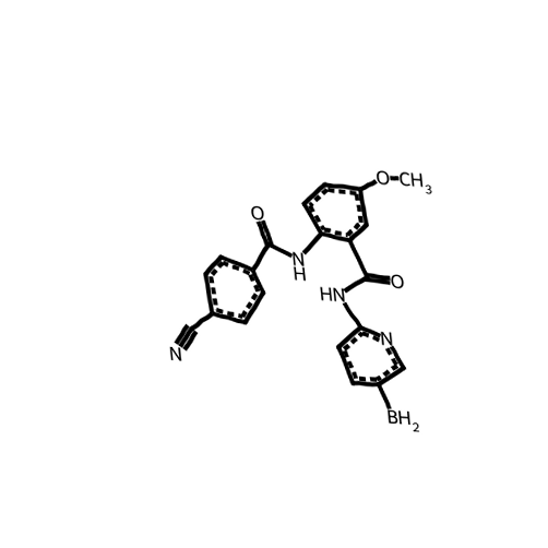 Bc1ccc(NC(=O)c2cc(OC)ccc2NC(=O)c2ccc(C#N)cc2)nc1